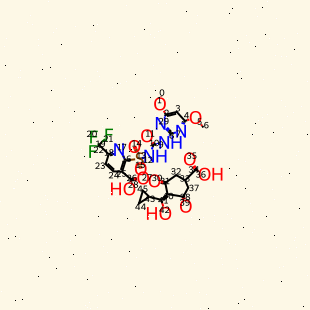 COc1cc(OC)nc(NC(=O)NS(=O)(=O)c2nc(C(F)(F)F)ccc2C(=O)O)n1.O=C1CC(C(=O)O)CC(=O)C1=C(O)C1CC1